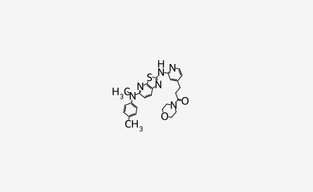 Cc1ccc(N(C)c2ccc3nc(Nc4cc(CCC(=O)N5CCOCC5)ccn4)sc3n2)cc1